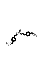 C=Cc1ccc(CCO[PH](=O)OCCc2ccc(C=C)cc2)cc1